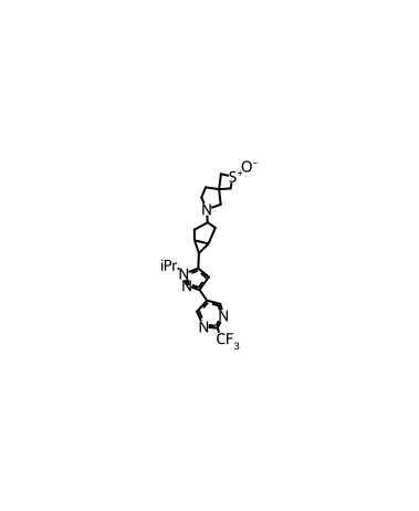 CC(C)n1nc(-c2cnc(C(F)(F)F)nc2)cc1C1C2CC(N3CCC4(C3)C[S+]([O-])C4)CC21